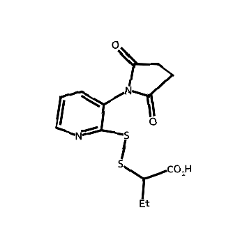 CCC(SSc1ncccc1N1C(=O)CCC1=O)C(=O)O